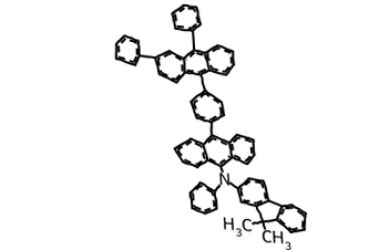 CC1(C)c2ccccc2-c2ccc(N(c3ccccc3)c3c4ccccc4c(-c4ccc(-c5c6ccccc6c(-c6ccccc6)c6cc(-c7ccccc7)ccc56)cc4)c4ccccc34)cc21